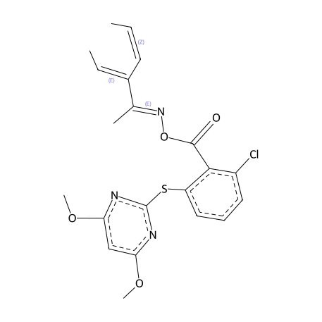 C\C=C/C(=C\C)C(/C)=N/OC(=O)c1c(Cl)cccc1Sc1nc(OC)cc(OC)n1